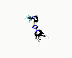 CC1(C)CCN(c2cnc(Sc3cccnc3C(F)(F)F)cn2)CC1